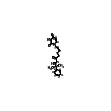 CC(C)(NCC(=O)CC/C=C\Cn1ccc(=O)[nH]c1=O)c1ccccc1